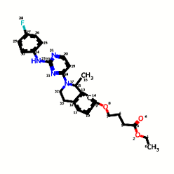 CCOC(=O)CCCOc1ccc2c(c1)C(C)N(c1ccnc(Nc3ccc(F)cc3)n1)CC2